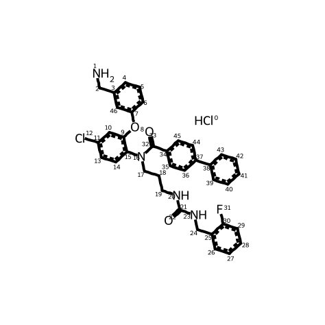 Cl.NCc1cccc(Oc2cc(Cl)ccc2N(CCCNC(=O)NCc2ccccc2F)C(=O)c2ccc(-c3ccccc3)cc2)c1